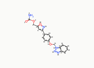 NC(=O)OCc1cc(-c2ccc(OCn3nnc4ccccc43)cc2)no1